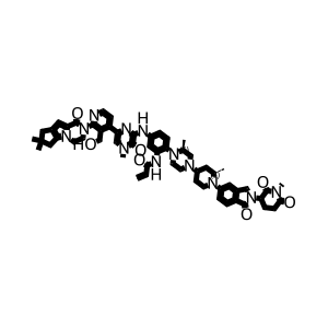 C=CC(=O)Nc1cc(Nc2nc(-c3ccnc(N4CCn5c(cc6c5CC(C)(C)C6)C4=O)c3CO)cn(C)c2=O)ccc1N1CCN(C2CCN(c3ccc4c(c3)CN(C3CCC(=O)N(C)C3=O)C4=O)[C@@H](C)C2)C[C@@H]1C